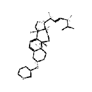 CC(C)[C@@H](C)C=C[C@@H](C)[C@H]1CC[C@H]2C3=CC=C4C[C@@H](OC5CCCOC5)CC[C@]4(C)[C@H]3CC[C@]12C